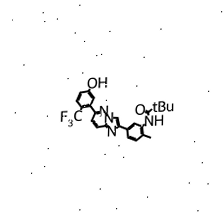 Cc1ccc(-c2cn3nc(-c4cc(O)ccc4C(F)(F)F)ccc3n2)cc1NC(=O)C(C)(C)C